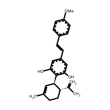 C=C(C)[C@@H]1CCC(C)=C[C@H]1c1c(O)cc(/C=C/c2ccc(OC)cc2)cc1O